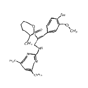 COc1cc(/C=C(/CNc2nc(C)cc(C)n2)P2(=O)OCCC2C)ccc1O